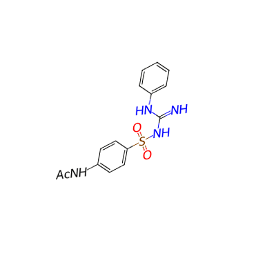 CC(=O)Nc1ccc(S(=O)(=O)NC(=N)Nc2ccccc2)cc1